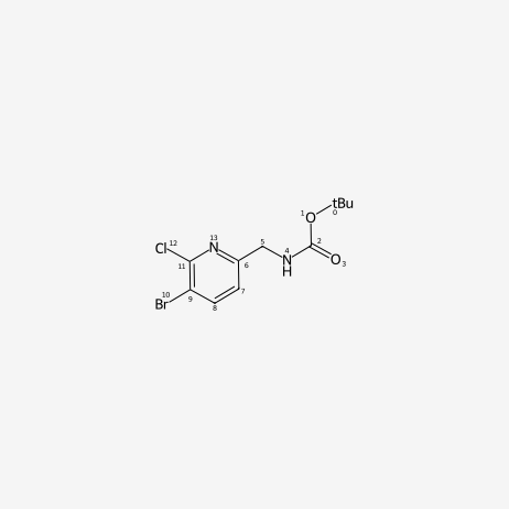 CC(C)(C)OC(=O)NCc1ccc(Br)c(Cl)n1